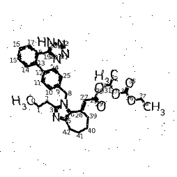 CCCc1nc2c(n1Cc1ccc(-c3ccccc3-c3nnn[nH]3)cc1)C(=CC(=O)OC(C)OC(=O)OCC)CCCC2